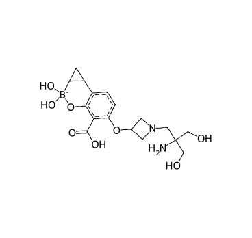 NC(CO)(CO)CN1CC(Oc2ccc3c(c2C(=O)O)O[B-](O)(O)C2CC32)C1